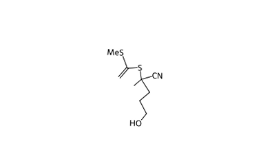 C=C(SC)SC(C)(C#N)CCCO